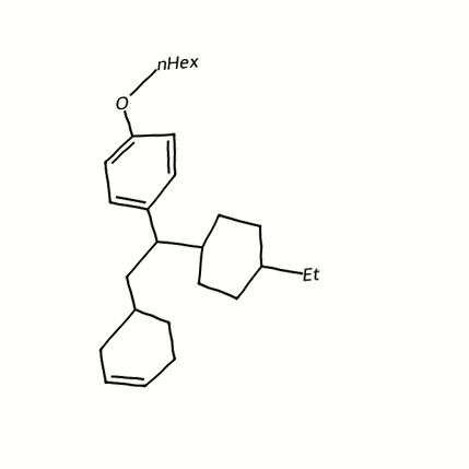 CCCCCCOc1ccc(C(CC2CC=CCC2)C2CCC(CC)CC2)cc1